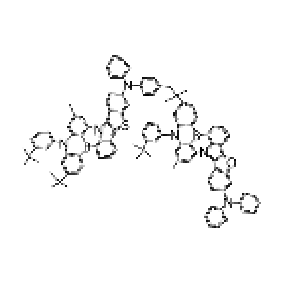 Cc1cc2c3c(c1)-n1c4c(cccc4c4oc5cc(N(c6ccccc6)c6ccccc6)ccc5c41)B3c1ccc(C(C)(C)Cc3ccc(N(c4ccccc4)c4ccc5c(c4)sc4c6cccc7c6n(c54)-c4cc(C)cc5c4B7c4ccc(C(C)(C)C)cc4N5c4cccc(C(C)(C)C)c4)cc3)cc1N2c1cccc(C(C)(C)C)c1